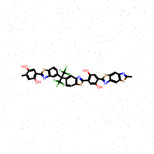 Cc1nc2cc3sc(-c4cc(O)c(-c5nc6cc(C(c7ccc8sc(-c9cc(O)c(C)cc9O)nc8c7)(C(F)(F)F)C(F)(F)F)ccc6s5)cc4O)nc3cc2s1